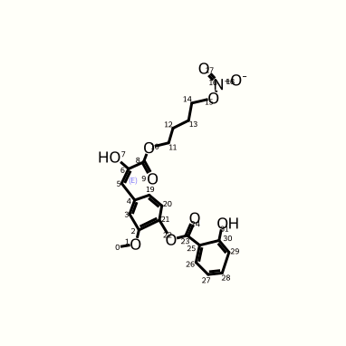 COc1cc(/C=C(/O)C(=O)OCCCCO[N+](=O)[O-])ccc1OC(=O)c1ccccc1O